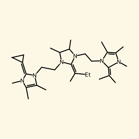 CC/C(C)=C1\N(CCN2C(C)=C(C)N(C)C2=C(C)C)C(C)C(C)N1CCN1C(C)=C(C)N(C)C1=C1CC1